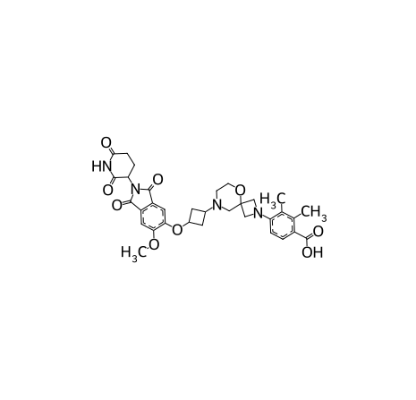 COc1cc2c(cc1OC1CC(N3CCOC4(CN(c5ccc(C(=O)O)c(C)c5C)C4)C3)C1)C(=O)N(C1CCC(=O)NC1=O)C2=O